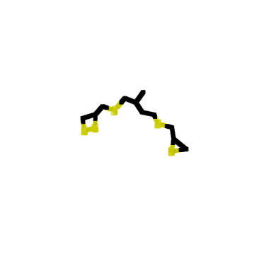 CC(CCSCC1CS1)CSCC1CSS1